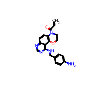 C=CC(=O)N1CCOc2c1ccc1ncnc(NCc3ccc(N)cc3)c21